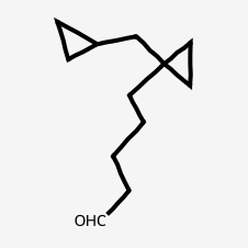 O=CCCCCC1(CC2CC2)CC1